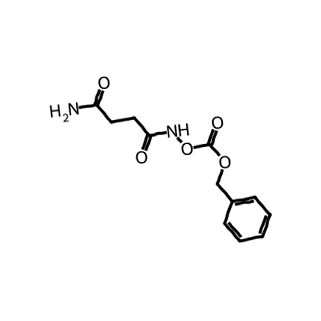 NC(=O)CCC(=O)NOC(=O)OCc1ccccc1